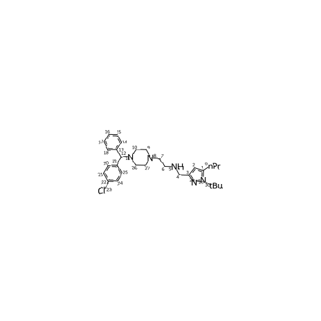 CCCc1cc(CNCCN2CCN(C(c3ccccc3)c3ccc(Cl)cc3)CC2)nn1C(C)(C)C